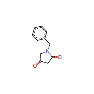 O=C1CC(=O)N(Cc2ccccc2)C1